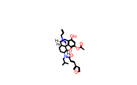 C=CCN1CC[C@]23c4c5c(O)cc(OC(C)=O)c4O[C@@H]2[C@H](N(CC(C)C)C(=O)C=Cc2ccoc2)CC[C@H]3[C@H]1C5